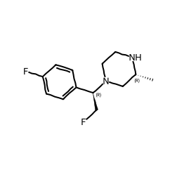 C[C@@H]1CN([C@@H](CF)c2ccc(F)cc2)CCN1